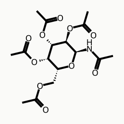 CC(=O)N[C@H]1O[C@H](COC(C)=O)[C@H](OC(C)=O)[C@H](OC(C)=O)[C@H]1OC(C)=O